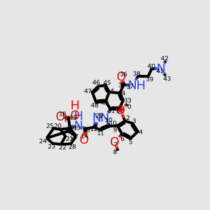 COc1cccc(OC)c1-c1cc(C(=O)NC2(C(=O)O)C3CC4CC(C3)CC2C4)nn1-c1ccc(C(=O)NCCCN(C)C)c2ccccc12